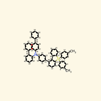 Cc1ccc(S2(c3ccc(C)cc3)c3ccccc3-c3c(-c4ccc(N(c5ccc(-c6ccccc6)cc5)c5ccccc5-c5ccccc5)cc4)cccc32)cc1